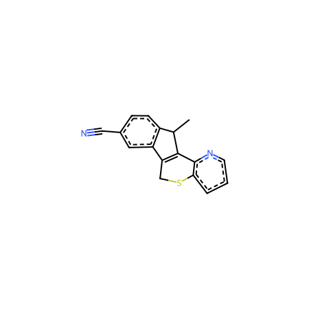 CC1C2=C(CSc3cccnc32)c2cc(C#N)ccc21